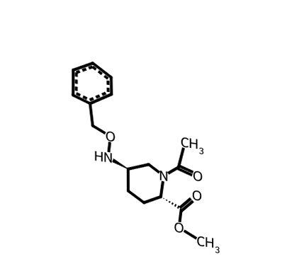 COC(=O)[C@@H]1CC[C@@H](NOCc2ccccc2)CN1C(C)=O